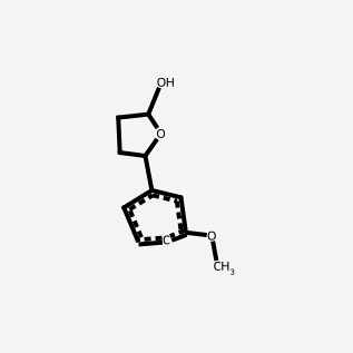 COc1cccc(C2CCC(O)O2)c1